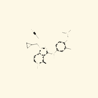 Cc1cc(Nc2nn([C@@H](CC#N)C3CC3)c3cc[nH]c(=O)c23)ccc1SN(C)C